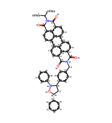 CCCCCCC(CCCCCC)N1C(=O)c2ccc3c4ccc5c6c(ccc(c7ccc(c2c37)C1=O)c64)C(=O)N(Cc1ccc(C2C[C@H](c3ccccc3)ON2c2ccccc2)cc1)C5=O